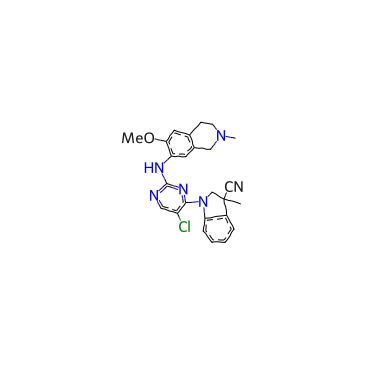 COc1cc2c(cc1Nc1ncc(Cl)c(N3CC(C)(C#N)c4ccccc43)n1)CN(C)CC2